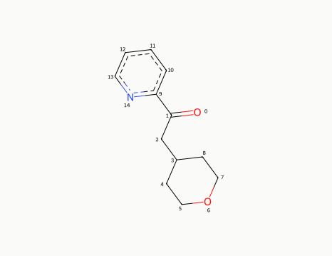 O=C(CC1CCOCC1)c1ccccn1